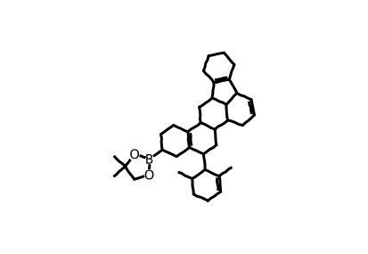 CC1=CCCC(C)C1C1CC2C(CC3C4=C(CCCC4)C4C=CCC2C43)C2=C1CC(B1OCC(C)(C)O1)CC2